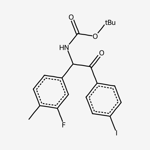 Cc1ccc(C(NC(=O)OC(C)(C)C)C(=O)c2ccc(I)cc2)cc1F